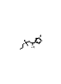 CCCC(C)(C)CC(O)c1cnn(C)c1